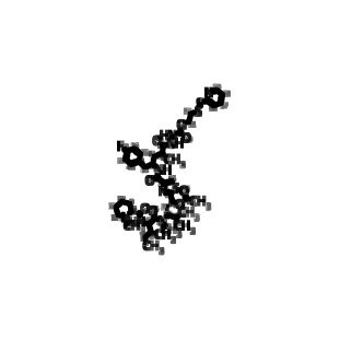 CC[C@H](C)C(NC(=O)[C@H]1CCCCN1C)C(=O)N(C)[C@H](C[C@@H](OC(C)=O)c1nc(C(=O)NC(Cc2ccc(F)cc2)C[C@H](C)C(=O)NNC(=O)OCCSSc2ccccn2)cs1)C(C)C